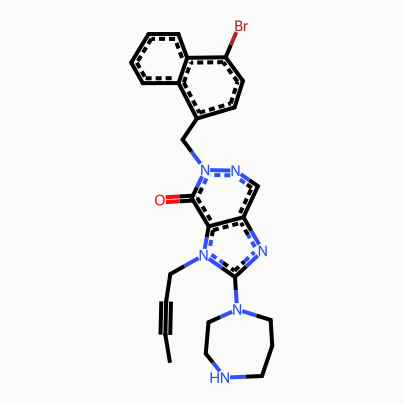 CC#CCn1c(N2CCCNCC2)nc2cnn(Cc3ccc(Br)c4ccccc34)c(=O)c21